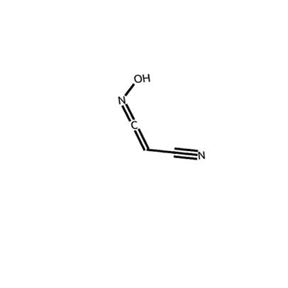 N#CC=C=NO